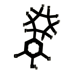 Nc1c(Cl)cc(C2(F)C(F)(F)C(F)(F)C(F)(F)C(F)(F)C2(F)F)cc1Cl